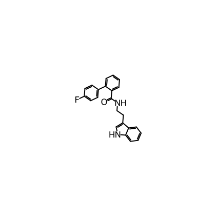 O=C(NCCc1c[nH]c2ccccc12)c1ccccc1-c1ccc(F)cc1